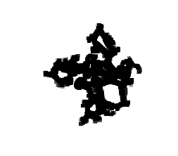 CC1=CC2=C(CCCC2)[C]1(C)[Ti]([O]C(=O)c1ccccc1)([O]C(=O)c1ccccc1)[O]C(=O)c1ccccc1